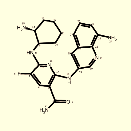 NC(=O)c1cc(F)c(NC2CCCC[C@@H]2N)nc1Nc1cnc2c(N)cccc2c1